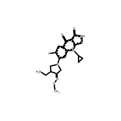 CON=C1CN(c2cc3c(cc2F)c(=O)c2c(=O)[nH]sc2n3C2CC2)CC1CN